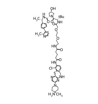 Cc1ncsc1-c1ccc([C@H](C)NC(=O)[C@@H]2C[C@@H](O)CN2C(=O)[C@@H](NC(=O)COCCOCCNC(=O)CCCC(=O)Nc2ccc3c(c2Cl)Sc2ncc(N4CCC(C)(N)CC4)nc2NC3)C(C)(C)C)cc1